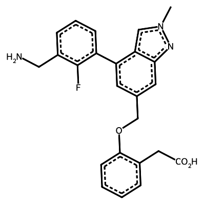 Cn1cc2c(-c3cccc(CN)c3F)cc(COc3ccccc3CC(=O)O)cc2n1